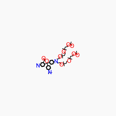 CC(=O)OCCC(C)(C)OCCC(C)(C)OCCN(CCOC(C)(C)CCOC(C)(C)CCOC(C)=O)c1ccc(C2(c3ccc(N(C)C)cc3)OC(=O)c3cc(N(C)C)ccc32)cc1